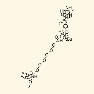 C#CCOCC(COCC#C)(COCC#C)NC(=O)CCOCCOCCOCCOCCOCCOCCNC(=O)CC[C@H](NC(=O)c1ccc(N(Cc2cnc3nc(N)[nH]c(=O)c3n2)C(=O)C(F)(F)F)cc1)C(=O)OC(C)(C)C